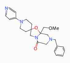 COCC12CN(Cc3ccccc3)CC(=O)N1CC1(CCN(c3ccncc3)CC1)O2